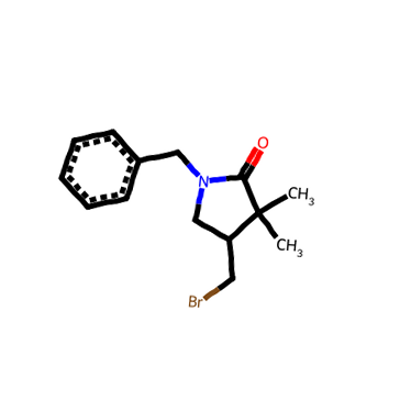 CC1(C)C(=O)N(Cc2ccccc2)CC1CBr